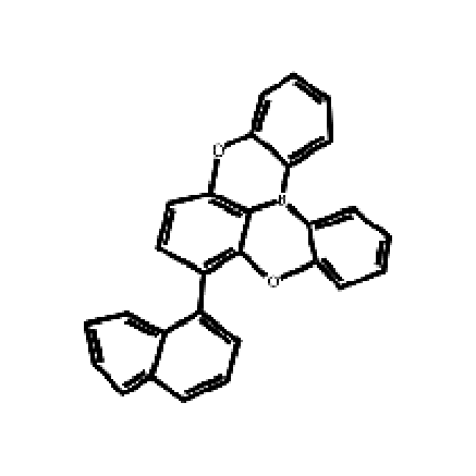 c1ccc2c(c1)Oc1ccc(-c3cccc4ccccc34)c3c1B2c1ccccc1O3